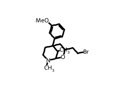 COc1cccc(C23CCN(C)C(OC(CCBr)C2)C3C)c1